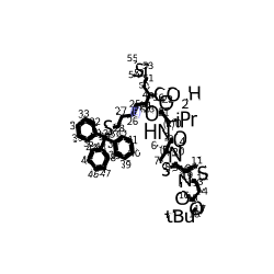 CC(C)[C@@H](NC(=O)[C@]1(C)CSC(c2csc(CC(=O)OC(C)(C)C)n2)=N1)C(=O)O[C@@H](/C=C/CCSC(c1ccccc1)(c1ccccc1)c1ccccc1)C(CC[Si](C)(C)C)C(=O)O